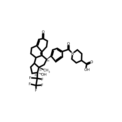 C[C@]12C[C@H](c3ccc(C(=O)N4CCC(C(=O)O)CC4)cc3)C3=C4CCC(=O)C=C4CCC3C1CC[C@]2(O)C(F)(F)C(F)(F)F